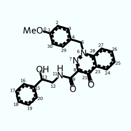 COc1ccc(Cn2nc(C(=O)NCC(O)c3ccccc3)c(=O)c3ccccc32)cc1